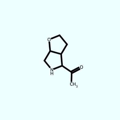 CC(=O)C1NCC2OCCC21